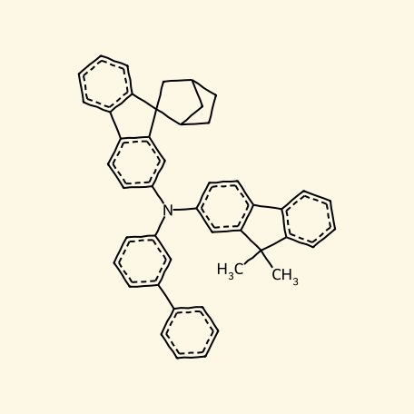 CC1(C)c2ccccc2-c2ccc(N(c3cccc(-c4ccccc4)c3)c3ccc4c(c3)C3(CC5CCC3C5)c3ccccc3-4)cc21